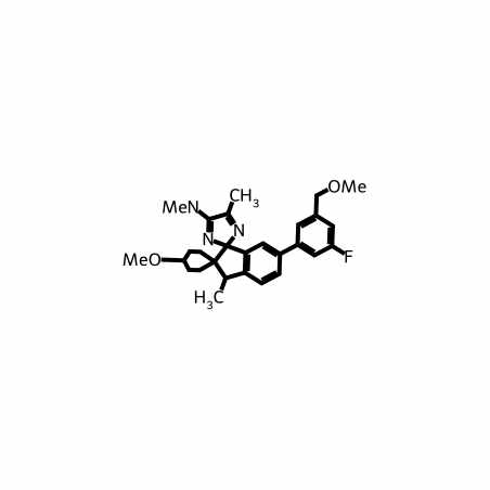 CNC1=NC2(N=C1C)c1cc(-c3cc(F)cc(COC)c3)ccc1C(C)C21CCC(OC)CC1